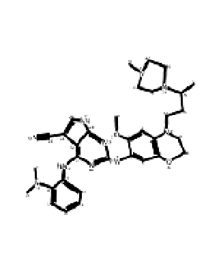 COc1cc2c(cc1Nc1nc(Nc3ccccc3N(C)C)c3c(C#N)c[nH]c3n1)OCCN2CCC(C)N1CCN(C)CC1